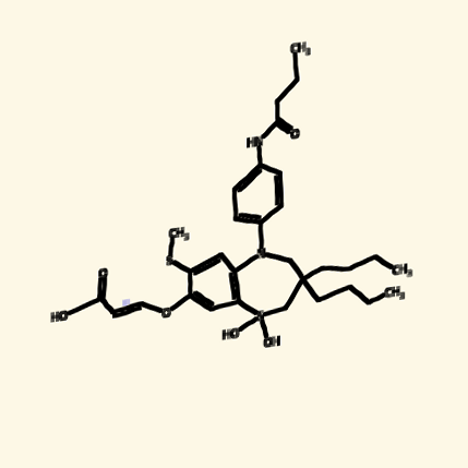 CCCCC1(CCCC)CN(c2ccc(NC(=O)CCC)cc2)c2cc(SC)c(O/C=C/C(=O)O)cc2S(O)(O)C1